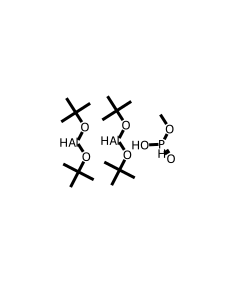 CC(C)(C)[O][AlH][O]C(C)(C)C.CC(C)(C)[O][AlH][O]C(C)(C)C.CO[PH](=O)O